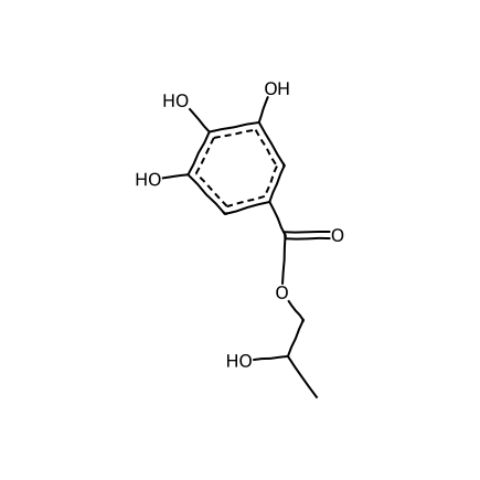 CC(O)COC(=O)c1cc(O)c(O)c(O)c1